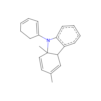 CC1=CC2c3ccccc3N(C3=CC=CCC3)C2(C)C=C1